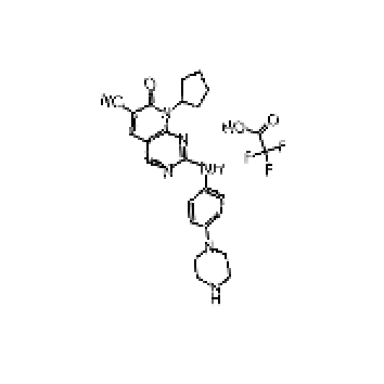 N#Cc1cc2cnc(Nc3ccc(N4CCNCC4)cc3)nc2n(C2CCCC2)c1=O.O=C(O)C(F)(F)F